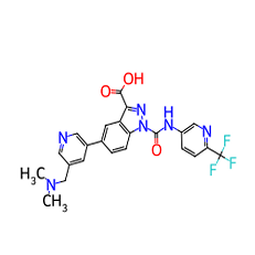 CN(C)Cc1cncc(-c2ccc3c(c2)c(C(=O)O)nn3C(=O)Nc2ccc(C(F)(F)F)nc2)c1